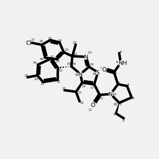 CC[C@@H]1CCC(C(=O)NC)N1C(=O)C1=C(C(C)C)N2C(=NC(C)(c3ccc(Cl)cc3)[C@H]2c2ccc(C)cc2)S1